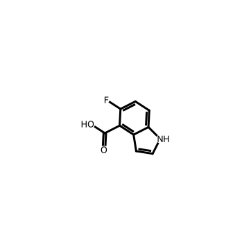 O=C(O)c1c(F)ccc2[nH]ccc12